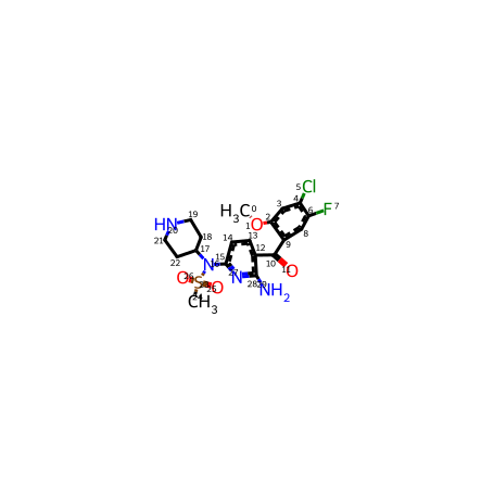 COc1cc(Cl)c(F)cc1C(=O)c1ccc(N(C2CCNCC2)S(C)(=O)=O)nc1N